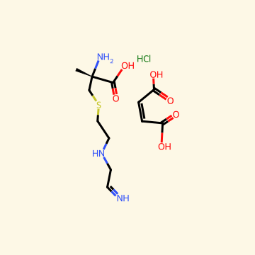 C[C@](N)(CSCCNCC=N)C(=O)O.Cl.O=C(O)/C=C\C(=O)O